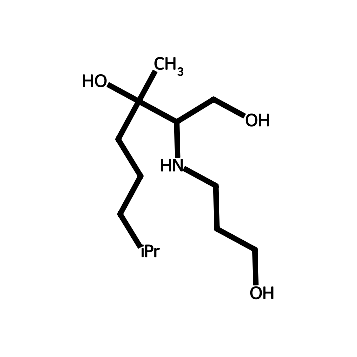 CC(C)CCCC(C)(O)C(CO)NCCCO